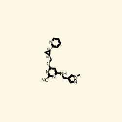 Cn1cc(CNc2cc(OC[C@H]3C[C@@H]3c3ccccn3)nc(C#N)n2)cn1